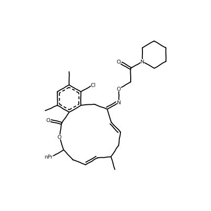 CCCC1C/C=C/C(C)C/C=C/C(=N/OCC(=O)N2CCCCC2)Cc2c(Cl)c(C)cc(C)c2C(=O)O1